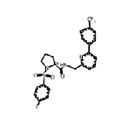 O=C(NCc1cccc(-c2ccc(C(F)(F)F)cc2)n1)[C@@H]1CCCN1S(=O)(=O)c1ccc(F)cc1